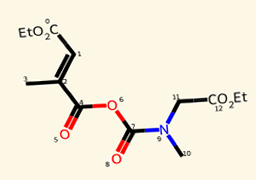 CCOC(=O)/C=C(\C)C(=O)OC(=O)N(C)CC(=O)OCC